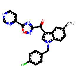 COc1ccc2c(c1)c(C(=O)c1noc(-c3ccncn3)n1)cn2Cc1ccc(Cl)cc1